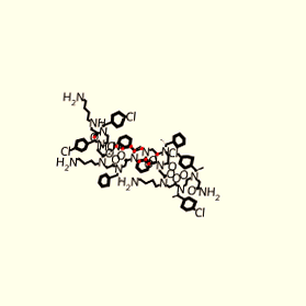 C[C@H](c1ccc(Cl)cc1)N(CC(N)=O)C(=O)CN(C(=O)CN(CCCCN)C(=O)CN(C(=O)CN(C(=O)CN(CCCCN)C(=O)CN(C(=O)CN(C(=O)CN(CCCCN)C(=O)CN(C(=O)CN(C(=O)CNCCCCN)[C@H](C)c1ccc(Cl)cc1)[C@H](C)c1ccc(Cl)cc1)[C@H](C)c1ccccc1)[C@H](C)c1ccccc1)[C@H](C)c1ccccc1)[C@H](C)c1ccccc1)[C@H](C)c1ccc(Cl)cc1